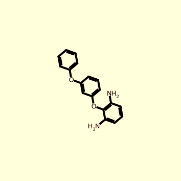 Nc1cccc(N)c1Oc1cccc(Oc2ccccc2)c1